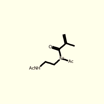 C=C(C)C(=O)[N+](CCNC(C)=O)C(C)=O